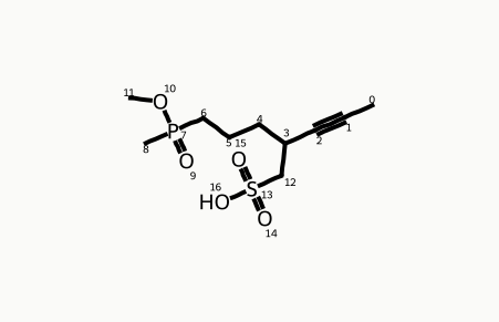 CC#CC(CCCP(C)(=O)OC)CS(=O)(=O)O